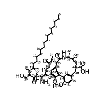 CCCCCCCCCCCCCCCC(=O)N(C)[C@H](CO)C(=O)N[C@H](N)C(=O)NCC(=O)N(C)[C@@H]1C(=O)N[C@@H](C)C(=O)N[C@H](C(=O)O)Cc2ccc(O)c(c2)-c2cc1ccc2O